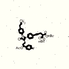 C=CCc1ccc(N2C(=O)[C@H](CC[C@H](OC(C)=O)c3ccc(F)cc3)[C@H]2c2ccc(C#CCC(C(=O)OCCCC)C(=O)OCCCC)cc2)cc1